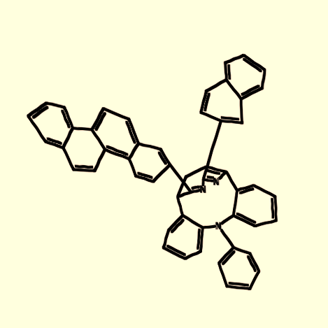 C1=C2/N=C(c3ccc4ccccc4c3)\N=C(\c3ccc4c(ccc5c6ccccc6ccc45)c3)C(C/1)c1ccccc1N(c1ccccc1)c1ccccc12